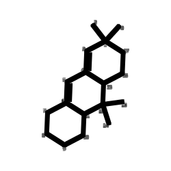 CC1(C)C=C2C=C3CCCCC3C(C)(C)C2CC1